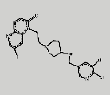 O=c1ccc2ncc(F)cc2n1CCN1CCC(NCc2cnc(Cl)c(Cl)c2)CC1